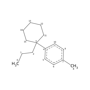 CCCC1(c2ccc(C)cc2)CCCCC1